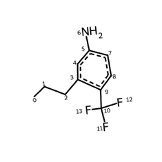 CCCc1cc(N)ccc1C(F)(F)F